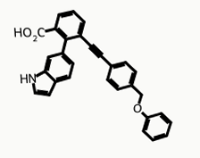 O=C(O)c1cccc(C#Cc2ccc(COc3ccccc3)cc2)c1-c1ccc2cc[nH]c2c1